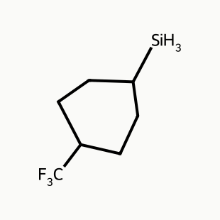 FC(F)(F)C1CCC([SiH3])CC1